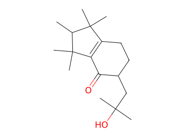 CC1C(C)(C)C2=C(C(=O)C(CC(C)(C)O)CC2)C1(C)C